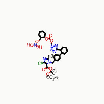 CCCCc1nc(Cl)c(C(=O)OC(C)OC(=O)OCC)n1Cc1ccc(-c2ccccc2-c2nnn(COC(=O)Oc3ccccc3CON(O)O)n2)cc1